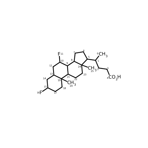 CC(CCC(=O)O)C1CCC2C3C(F)CC4CC(F)CCC4(C)C3CCC12C